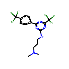 CN(C)CCCNc1nc(-c2ccc(C(Cl)(Cl)Cl)cc2)nc(C(Cl)(Cl)Cl)n1